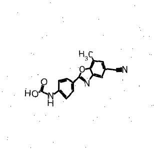 Cc1cc(C#N)cc2nc(-c3ccc(NC(=O)O)cc3)oc12